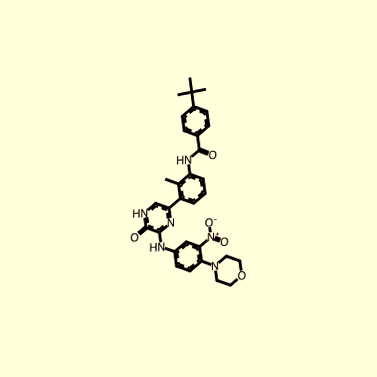 Cc1c(NC(=O)c2ccc(C(C)(C)C)cc2)cccc1-c1c[nH]c(=O)c(Nc2ccc(N3CCOCC3)c([N+](=O)[O-])c2)n1